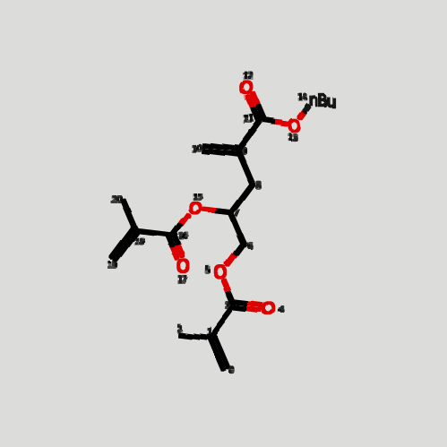 C=C(C)C(=O)OCC(CC(=C)C(=O)OCCCC)OC(=O)C(=C)C